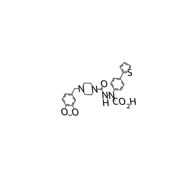 O=C(NN(C(=O)O)c1ccc(-c2cccs2)cc1)N1CCN(Cc2ccc3c(c2)OCO3)CC1